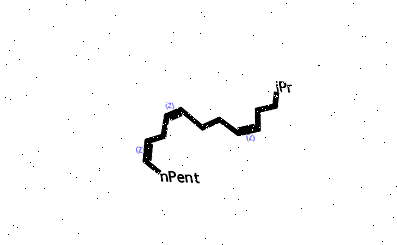 CCCCC/C=C\C/C=C\CC/C=C\CCC(C)C